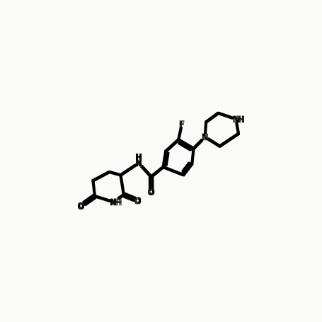 O=C1CCC(NC(=O)c2ccc(N3CCNCC3)c(F)c2)C(=O)N1